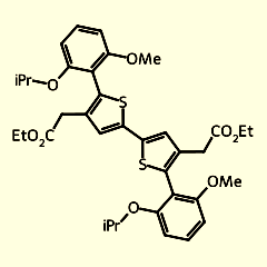 CCOC(=O)Cc1cc(-c2cc(CC(=O)OCC)c(-c3c(OC)cccc3OC(C)C)s2)sc1-c1c(OC)cccc1OC(C)C